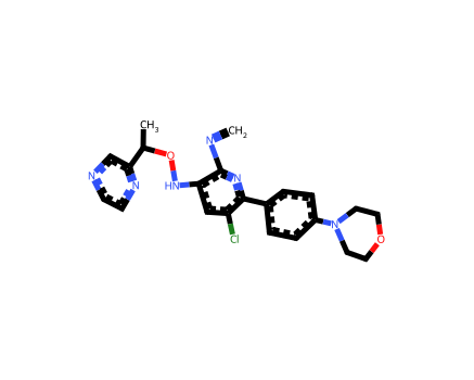 C=Nc1nc(-c2ccc(N3CCOCC3)cc2)c(Cl)cc1NOC(C)c1cnccn1